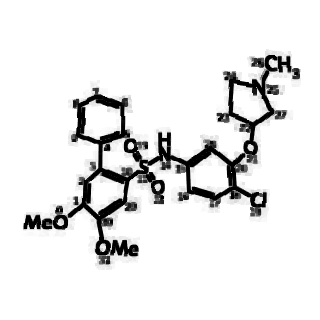 COc1cc(-c2ccccc2)c(S(=O)(=O)Nc2ccc(Cl)c(OC3CCN(C)C3)c2)cc1OC